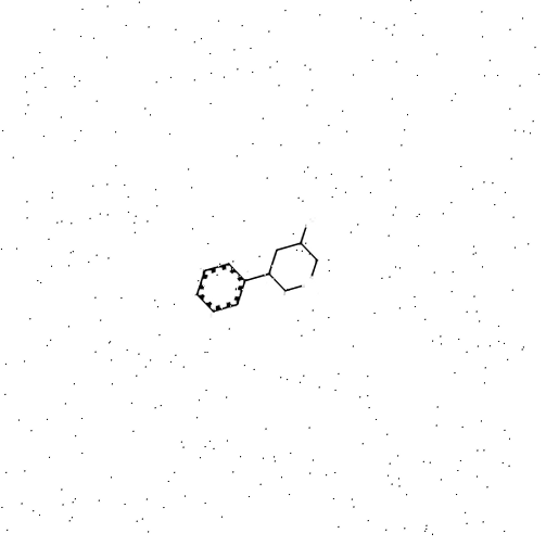 BrC1CO[CH]C(c2ccccc2)C1